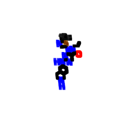 C=CCn1c(=O)c2cnc(Nc3ccc4c(c3)CCNC4)nc2n1-c1cnc(C(C)(C)C)s1